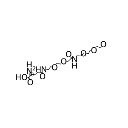 N[C@@H](CCC(=O)NCCOCCOCC(=O)NCCOCCOCC=O)C(=O)O